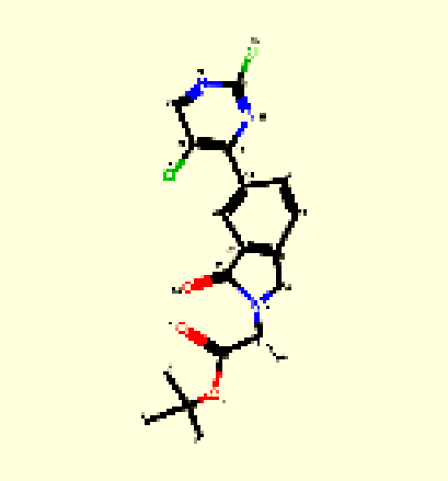 C[C@H](C(=O)OC(C)(C)C)N1Cc2ccc(-c3nc(Cl)ncc3Cl)cc2C1=O